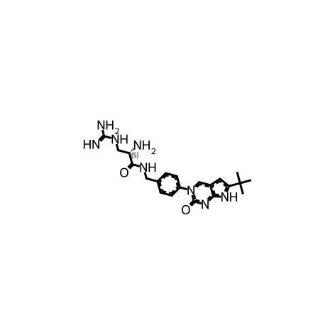 CC(C)(C)c1cc2cn(-c3ccc(CNC(=O)[C@@H](N)CNC(=N)N)cc3)c(=O)nc2[nH]1